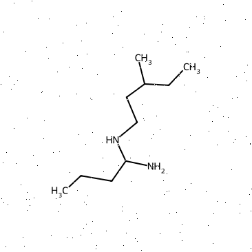 CCCC(N)NCCC(C)CC